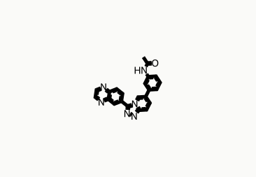 CC(=O)Nc1cccc(-c2ccc3nnc(-c4ccc5nccnc5c4)n3c2)c1